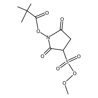 COOS(=O)(=O)C1CC(=O)N(OC(=O)C(C)(C)C)C1=O